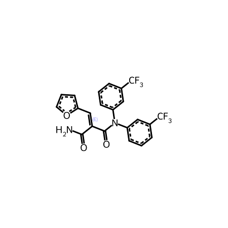 NC(=O)/C(=C\c1ccco1)C(=O)N(c1cccc(C(F)(F)F)c1)c1cccc(C(F)(F)F)c1